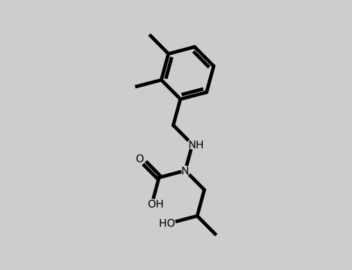 Cc1cccc(CNN(CC(C)O)C(=O)O)c1C